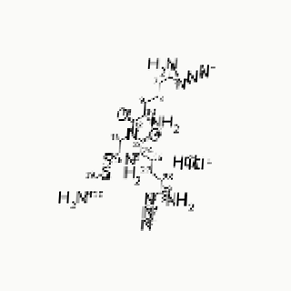 Cl.Cl.[N-]=[N+]=NC(N)CCC[C@H](N)C(=O)N(CCSSCCN)C(=O)[C@@H](N)CCCC(N)N=[N+]=[N-]